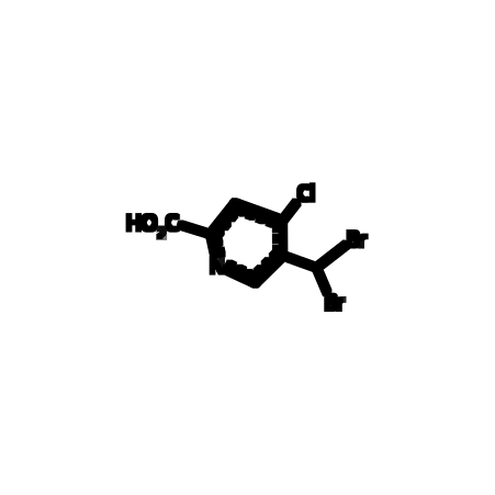 O=C(O)c1cc(Cl)c(C(Br)Br)cn1